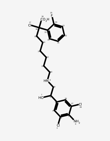 Nc1c(Cl)cc(C(O)CNCCCCCCC(Cl)(C(=O)O)c2ccccc2F)cc1Cl